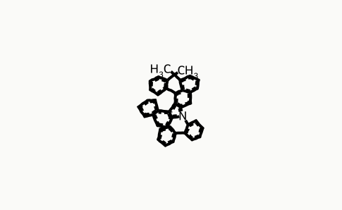 CC1(C)c2ccccc2-c2c3c1cccc3cc1c2c2c3ccccc3ccc2n1-c1ccccc1-c1ccccc1